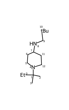 CCC(C)(C)N1CCC(NCC(C)(C)C)CC1